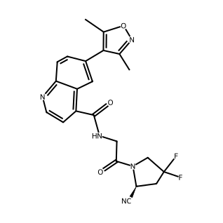 Cc1noc(C)c1-c1ccc2nccc(C(=O)NCC(=O)N3CC(F)(F)C[C@H]3C#N)c2c1